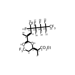 CCOC(=O)C(C)=C(CC(F)(F)F)OC(=O)C(C)=CC(F)(C(F)(F)F)C(F)(F)C(F)(F)C(F)(F)C(F)(F)F